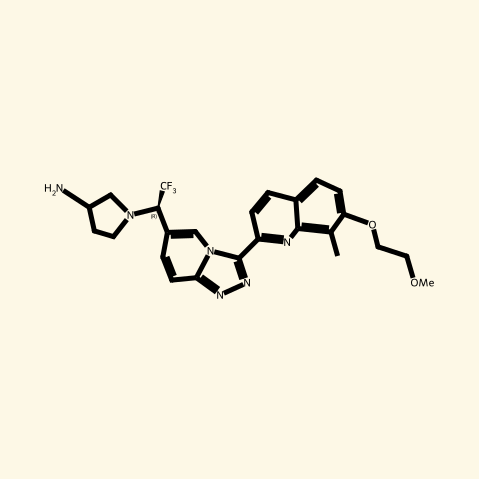 COCCOc1ccc2ccc(-c3nnc4ccc([C@@H](N5CCC(N)C5)C(F)(F)F)cn34)nc2c1C